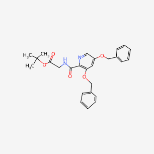 CC(C)(C)OC(=O)CNC(=O)c1ncc(OCc2ccccc2)cc1OCc1ccccc1